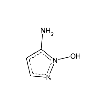 Nc1ccnn1O